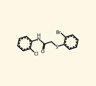 O=C(CSc1ccccc1Br)Nc1ccccc1Cl